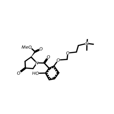 COC(=O)[C@@H]1CC(=O)CN1C(=O)c1c(O)cccc1OCOCC[Si](C)(C)C